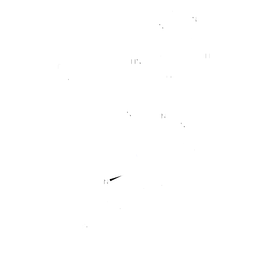 C=Nn1cc([C@@H](NC(=O)c2nonc2C)C2CCC(F)(F)CC2)nc1/C=C(\C)[C@H](NC(=O)COC1CC1)C1CC1